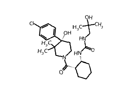 CC(C)(O)CNC(=O)N[C@@H]1CCCC[C@@H]1C(=O)N1CC[C@](O)(c2ccc(Cl)cc2)C(C)(C)C1